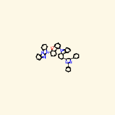 c1ccc(-c2cc(-c3cccc4c3c3ccccc3n4-c3cccc4oc5c(-n6c7ccccc7n7c8ccccc8nc67)cccc5c34)nc(-c3ccccc3)n2)cc1